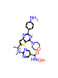 C[C@@H](c1cc2nc(-c3ccc(N)cc3)nc(N3CCOCC3)c2s1)N(C)c1ncc(C(=O)NO)cn1